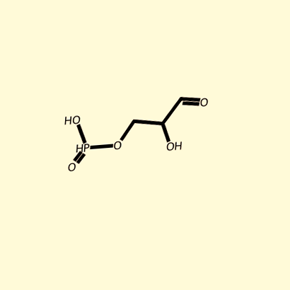 O=CC(O)CO[PH](=O)O